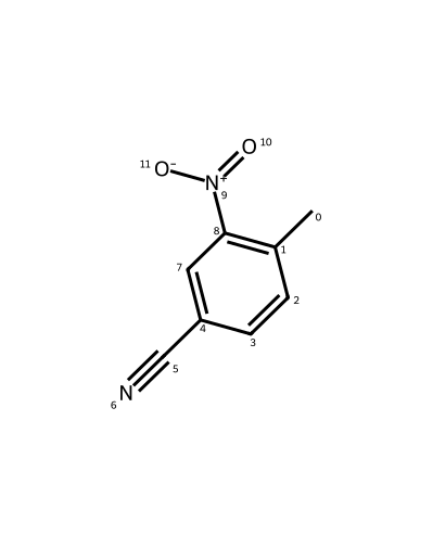 Cc1ccc(C#N)cc1[N+](=O)[O-]